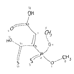 COP(=S)(OC)C(=CC(=O)O)C(O)=S